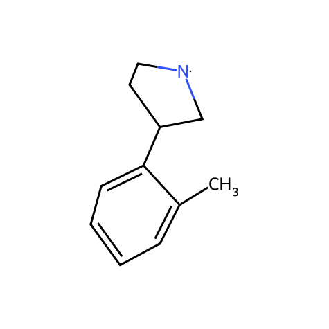 Cc1ccccc1C1CC[N]C1